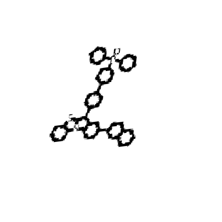 O=P(c1ccccc1)(c1ccccc1)c1ccc(-c2ccc(-c3c4cc(-c5ccc6ccccc6c5)ccc4n4c3sc3ccccc34)cc2)cc1